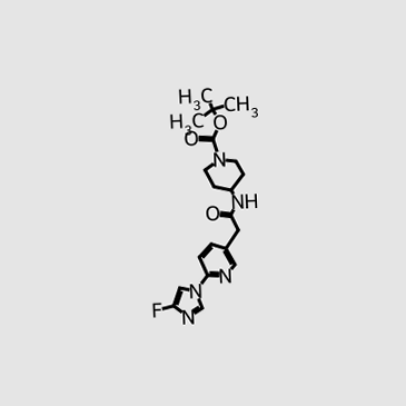 CC(C)(C)OC(=O)N1CCC(NC(=O)Cc2ccc(-n3cnc(F)c3)nc2)CC1